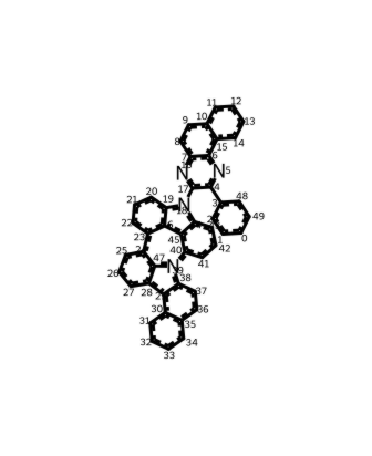 c1ccc(-c2nc3c(ccc4ccccc43)nc2-n2c3cccc4c5cccc6c7c8ccccc8ccc7n(c7cccc2c7c43)c56)cc1